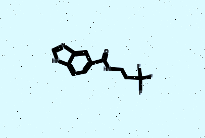 O=C(NCCC(F)(F)F)c1ccc2[nH]cnc2c1